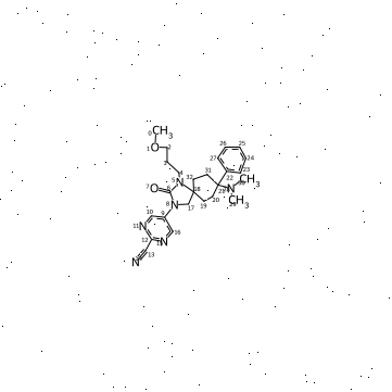 COCCCN1C(=O)N(c2cnc(C#N)nc2)CC12CCC(c1ccccc1)(N(C)C)CC2